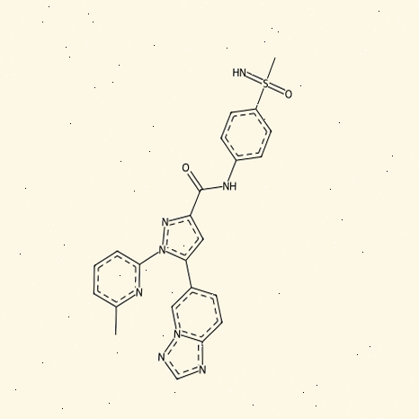 Cc1cccc(-n2nc(C(=O)Nc3ccc(S(C)(=N)=O)cc3)cc2-c2ccc3ncnn3c2)n1